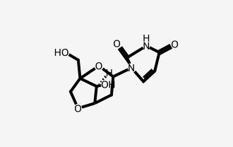 O=c1ccn(C2CC3OCC(CO)(O2)[C@H]3O)c(=O)[nH]1